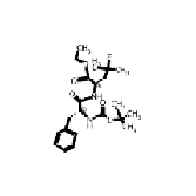 CCOC(=O)[C@@H](CC(C)(C)F)NC(=O)[C@@H](Cc1ccccc1)NC(=O)OC(C)(C)C